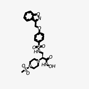 CS(=O)(=O)N1CCN([C@@H](CNS(=O)(=O)c2ccc(OCc3noc4ccccc34)cc2)C(=O)NO)CC1